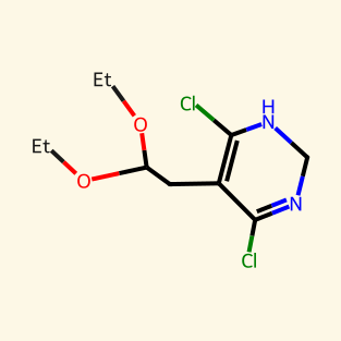 CCOC(CC1=C(Cl)NCN=C1Cl)OCC